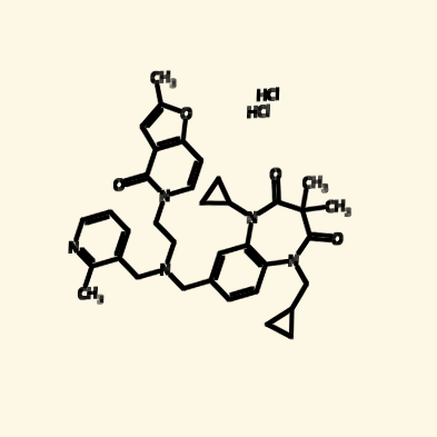 Cc1cc2c(=O)n(CCN(Cc3ccc4c(c3)N(C3CC3)C(=O)C(C)(C)C(=O)N4CC3CC3)Cc3cccnc3C)ccc2o1.Cl.Cl